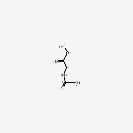 CCCOC(=O)CNC(=S)S